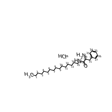 CCCCCCCCCCCCCCCCNC(=O)[C@@H](N)Cc1ccccc1.Cl